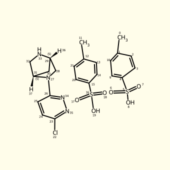 Cc1ccc(S(=O)(=O)O)cc1.Cc1ccc(S(=O)(=O)O)cc1.Clc1ccc(N2C[C@@H]3C[C@H]2CN3)nn1